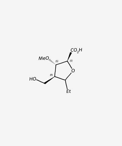 CCC1O[C@H](C(=O)O)[C@@H](OC)[C@@H]1CO